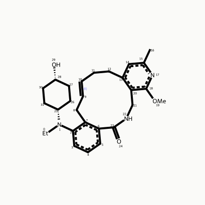 CCN(c1cccc2c1C/C=C/CCc1cc(C)nc(OC)c1CNC2=O)[C@H]1CC[C@@H](O)CC1